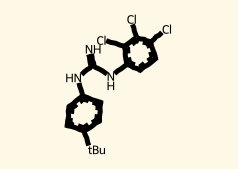 CC(C)(C)c1ccc(NC(=N)Nc2ccc(Cl)c(Cl)c2Cl)cc1